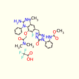 CCc1cc(Cc2nn(-c3ccccc3NC(=O)OC)c(=O)[nH]2)c(F)c(OCC(=O)N(C)C)c1N(C(=N)N)c1ccccc1.O=C(O)C(F)(F)F